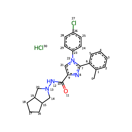 Cc1ccccc1-c1nc(C(=O)NN2CC3CCCC3C2)cn1-c1ccc(Cl)cc1.Cl